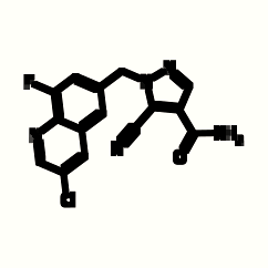 N#Cc1c(C(N)=O)cnn1Cc1cc(F)c2ncc(Cl)cc2c1